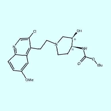 COc1ccc2ncc(Cl)c(CCN3CC[C@H](NC(=O)OC(C)(C)C)[C@H](O)C3)c2c1